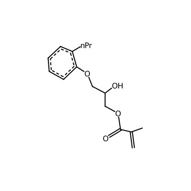 C=C(C)C(=O)OCC(O)COc1ccccc1CCC